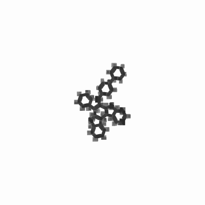 c1ccc(-c2ccc(-n3c4ccccc4c4c5sc6ccccc6c5c5c6cncnc6sc5c43)cc2)cc1